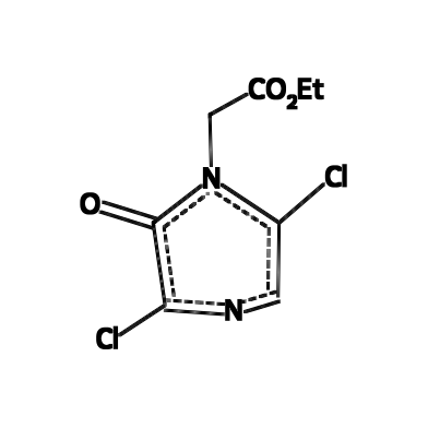 CCOC(=O)Cn1c(Cl)cnc(Cl)c1=O